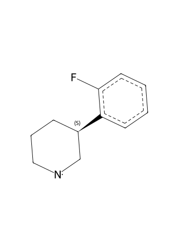 Fc1ccccc1[C@@H]1CCC[N]C1